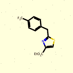 CCOC(=O)c1csc(Cc2ccc(C(F)(F)F)cc2)n1